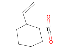 C=C[C]1CCCCC1.[O]=[Ti]=[O]